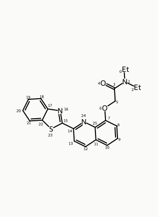 CCN(CC)C(=O)COc1cccc2ccc(-c3nc4ccccc4s3)nc12